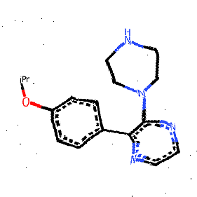 CC(C)Oc1ccc(-c2nccnc2N2CCNCC2)cc1